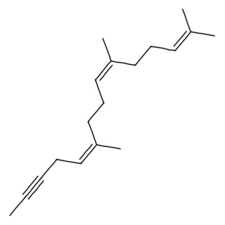 CC#CCC=C(C)CCC=C(C)CCC=C(C)C